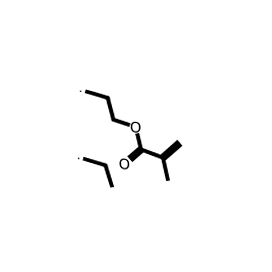 [CH2]CC.[CH2]CCOC(=O)C(=C)C